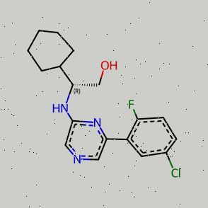 OC[C@H](Nc1cncc(-c2cc(Cl)ccc2F)n1)C1CCCCC1